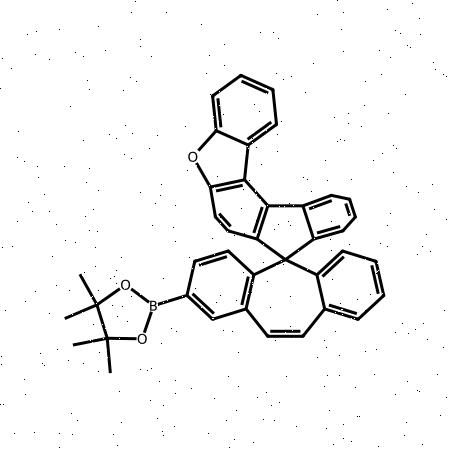 CC1(C)OB(c2ccc3c(c2)C=Cc2ccccc2C32c3ccccc3-c3c2ccc2oc4ccccc4c32)OC1(C)C